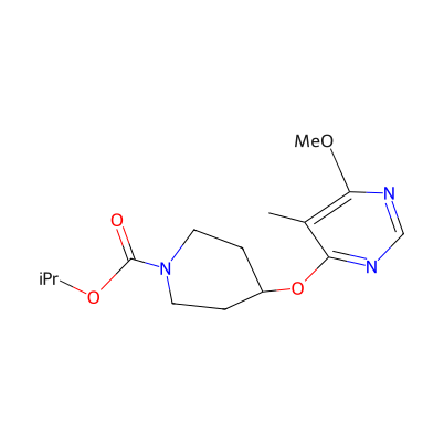 COc1ncnc(OC2CCN(C(=O)OC(C)C)CC2)c1C